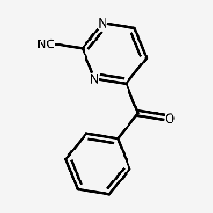 N#Cc1nccc(C(=O)c2ccccc2)n1